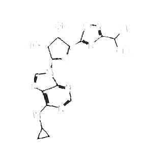 CC(C)c1noc([C@H]2O[C@@H](n3cnc4c(NC5CC5)ncnc43)[C@H](O)[C@@H]2O)n1